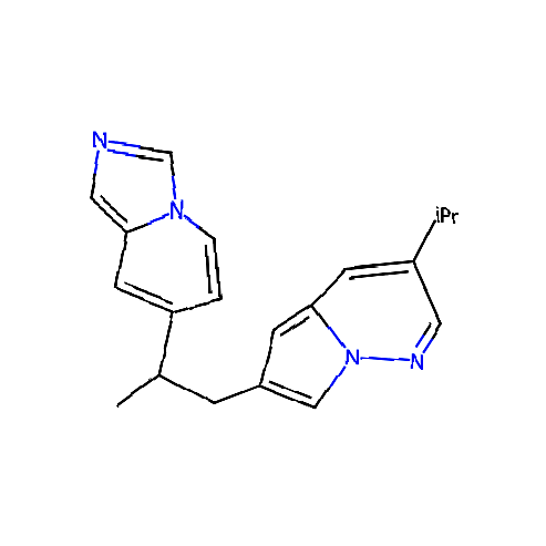 CC(C)c1cnn2cc(CC(C)c3ccn4cncc4c3)cc2c1